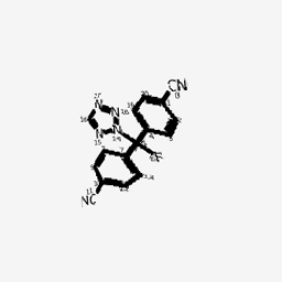 N#Cc1ccc(C(F)(c2ccc(C#N)cc2)n2ncnn2)cc1